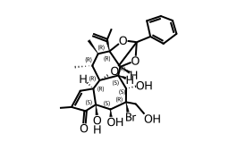 C=C(C)[C@@]12OC3(c4ccccc4)O[C@@H]1[C@@H]1[C@H](O)[C@](Br)(CO)[C@@H](O)[C@]4(O)C(=O)C(C)=C[C@H]4[C@@]1(O3)[C@H](C)[C@H]2C